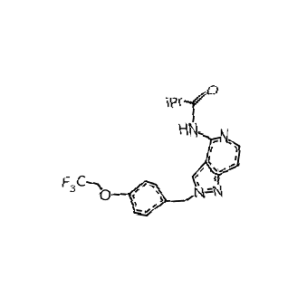 CC(C)C(=O)Nc1nccc2nn(Cc3ccc(OCC(F)(F)F)cc3)cc12